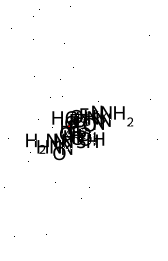 Nc1nc2c(ncn2[C@@H]2O[C@@H]3CO[PH](O)(O)O[C@@H]4C(CO[PH](O)(S)OC2[C@@H]3F)O[C@@H](n2cnc3c(N)ncnc32)[C@@H]4F)c(=O)[nH]1